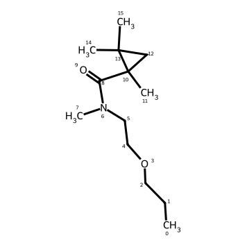 CCCOCCN(C)C(=O)C1(C)CC1(C)C